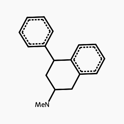 CNC1Cc2ccccc2C(c2ccccc2)C1